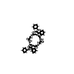 O=C1CNC(=O)CN(C(C(=O)NC2CCCCC2)c2ccccc2)C(=O)CNC(=O)CNC(=O)CN(C(C(=O)NC2CCCCC2)c2ccccc2)C(=O)CN1